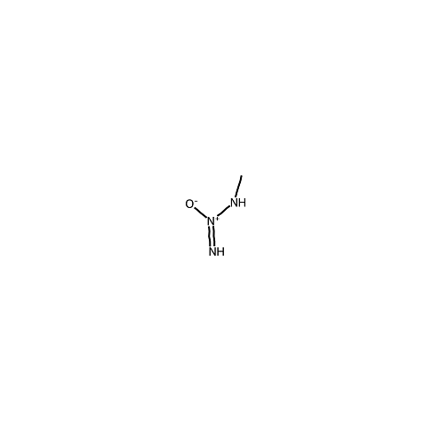 CN[N+](=N)[O-]